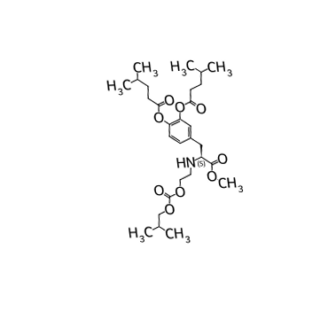 COC(=O)[C@H](Cc1ccc(OC(=O)CCC(C)C)c(OC(=O)CCC(C)C)c1)NCCOC(=O)OCC(C)C